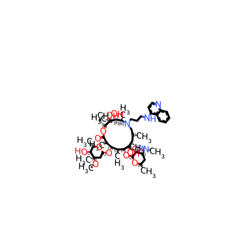 CC[C@H]1OC(=O)[C@H](C)[C@@H](O[C@H]2C[C@@](C)(OC)[C@@H](O)[C@H](C)O2)[C@H](C)[C@@H](O[C@@H]2O[C@H](C)C[C@H](NC)[C@H]2O)[C@](C)(O)C[C@@H](C)CN(CCCNc2ccnc3ccccc23)[C@H](C)[C@@H](O)[C@]1(C)O